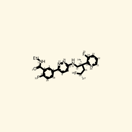 CCNC(=O)c1cc(-c2ccc(NC[C@](C)(C[C@H](C)F)c3ncccc3F)nn2)ccc1F